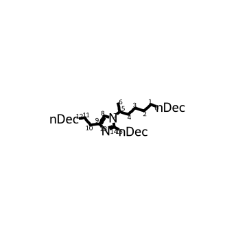 CCCCCCCCCCCCCCC(C)n1cc(CCCCCCCCCCCC)nc1CCCCCCCCCC